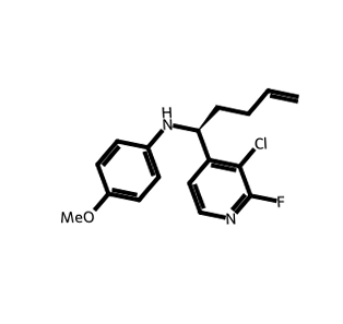 C=CCC[C@H](Nc1ccc(OC)cc1)c1ccnc(F)c1Cl